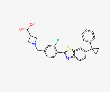 O=C(O)C1CN(Cc2ccc(-c3nc4ccc(C5(c6ccccc6)CC5)cc4s3)c(F)c2)C1